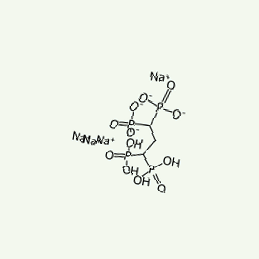 O=P([O-])([O-])C(CC(P(=O)(O)O)P(=O)(O)O)P(=O)([O-])[O-].[Na+].[Na+].[Na+].[Na+]